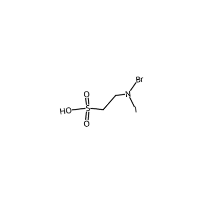 O=S(=O)(O)CCN(Br)I